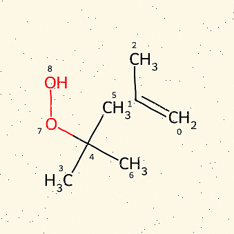 C=CC.CC(C)(C)OO